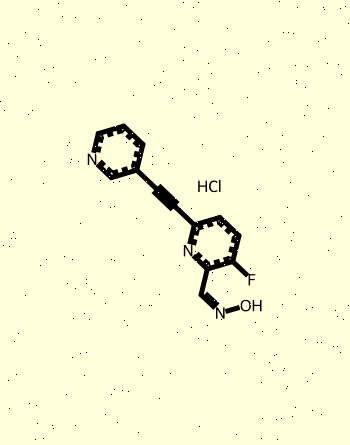 Cl.O/N=C\c1nc(C#Cc2cccnc2)ccc1F